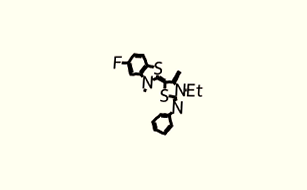 C=c1/c(=C2\Sc3ccc(F)cc3N2C)s/c(=N\c2ccccc2)n1CC